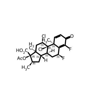 CC(=O)O[C@]1(C(=O)O)[C@H](C)C[C@H]2[C@@H]3C[C@H](F)C4=C(F)C(=O)C=C[C@]4(C)[C@@]3(Cl)[C@@H](Cl)C[C@@]21C